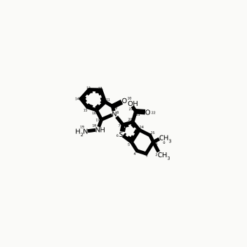 CC1(C)CCc2sc(N3C(=O)c4ccccc4C3NN)c(C(=O)O)c2C1